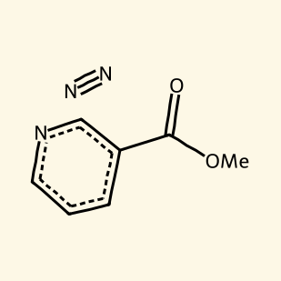 COC(=O)c1cccnc1.N#N